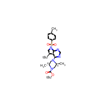 Cc1ccc(S(=O)(=O)n2cc(C(C)(C)C)c3c(N4C[C@@H](C)N(C(=O)OC(C)(C)C)C[C@@H]4C)ncnc32)cc1